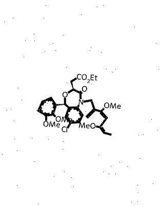 C=C(CN1C(=O)[C@H](CC(=O)OCC)O[C@H](c2cccc(OC)c2OC)c2cc(Cl)ccc21)/C(=C\C(=C/C)OC)OC